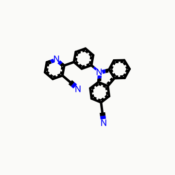 N#Cc1ccc2c(c1)c1ccccc1n2-c1cccc(-c2ncccc2C#N)c1